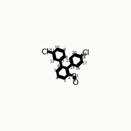 O=Pc1cccc(-c2cccc(Cl)c2)c1-c1ccc(Cl)cc1